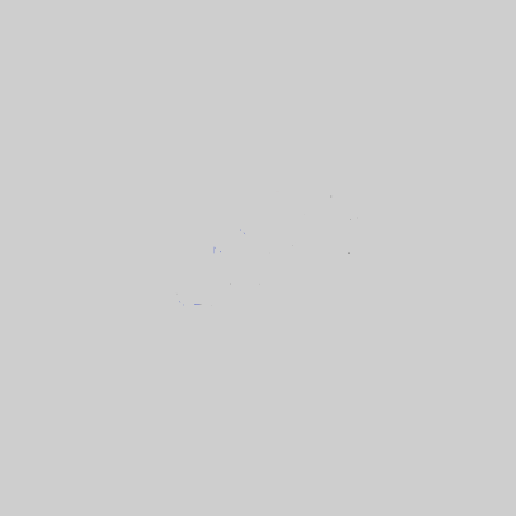 NC(=O)c1cc(-c2ccccc2Br)n[nH]1